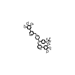 COc1cc(-c2cncc(CN3CCC(N(Cc4ccnc(-c5cc(OC)c(OC)c(OC)c5)c4)c4ccc(OC(F)(F)F)cc4)CC3)c2)cc(OC)c1OC